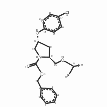 O=C(OCc1ccccc1)N1C[C@H](Oc2ccc(Cl)cn2)C[C@H]1COC(F)F